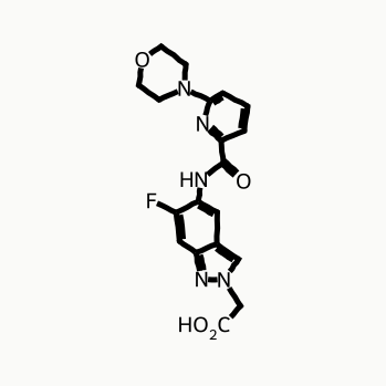 O=C(O)Cn1cc2cc(NC(=O)c3cccc(N4CCOCC4)n3)c(F)cc2n1